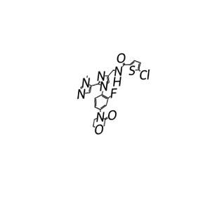 Cn1cncc1-c1nc(CNC(=O)c2ccc(Cl)s2)cn1-c1ccc(N2CCOCC2=O)cc1F